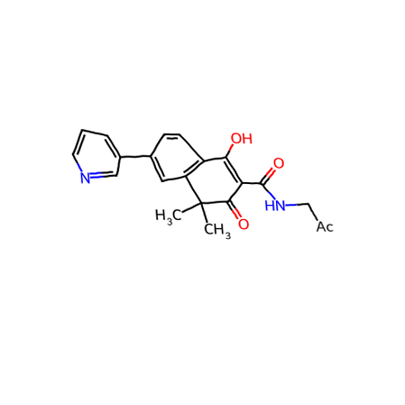 CC(=O)CNC(=O)C1=C(O)c2ccc(-c3cccnc3)cc2C(C)(C)C1=O